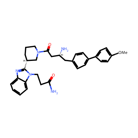 COc1ccc(-c2ccc(C[C@@H](N)CC(=O)N3CCC[C@@H](c4nc5ccccc5n4CCC(N)=O)C3)cc2)cc1